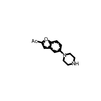 CC(=O)c1cc2cc(N3CCNCC3)ccc2o1